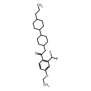 CCCC1CCC(C2CCC(CC(=O)c3ccc(OCC)cc3C(F)F)CC2)CC1